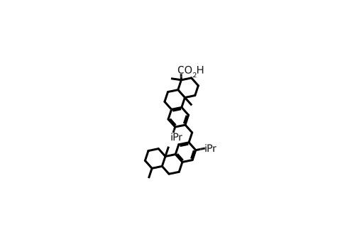 CC(C)c1cc2c(cc1Cc1cc3c(cc1C(C)C)CCC1C(C)(C(=O)O)CCCC31C)C1(C)CCCC(C)C1CC2